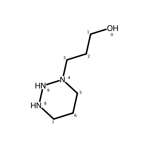 OCCCN1CCCNN1